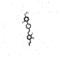 C/C=C/c1ccc(CCC2CCC(c3ccc(OCC)cc3F)CC2)c(F)c1F